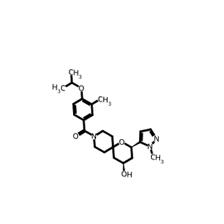 Cc1cc(C(=O)N2CCC3(CC2)C[C@H](O)C[C@H](c2ccnn2C)O3)ccc1OC(C)C